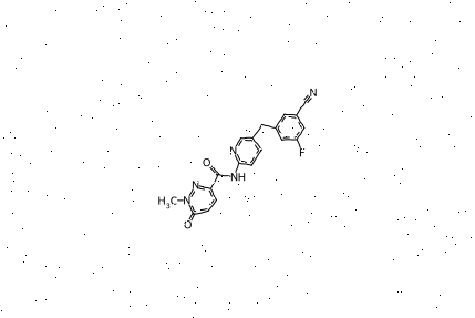 Cn1nc(C(=O)Nc2ccc(Cc3cc(F)cc(C#N)c3)cn2)ccc1=O